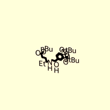 CCCCOC(=O)CCC(CC)NCC(O)c1ccc(S(=O)(=O)C(C)(C)C)c(S(=O)(=O)C(C)(C)C)c1